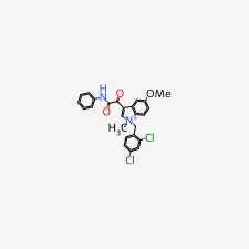 COc1ccc2c(c1)C(C(=O)C(=O)Nc1ccccc1)=C[N+]2(C)Cc1ccc(Cl)cc1Cl